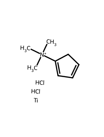 C[N+](C)(C)C1=CC=CC1.Cl.Cl.[Ti]